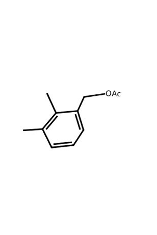 CC(=O)OCc1cccc(C)c1C